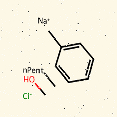 CCCCCC.CO.Cc1ccccc1.[Cl-].[Na+]